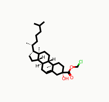 CC(C)CCC[C@@H](C)[C@H]1CC[C@H]2[C@@H]3CC=C4C[C@](O)(C(=O)OCCl)CC[C@]4(C)[C@H]3CC[C@]12C